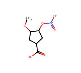 COC1CC(C(=O)O)CC1O[N+](=O)[O-]